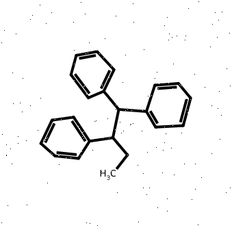 CCC([C](c1ccccc1)c1ccccc1)c1ccccc1